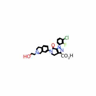 O=C(O)c1nn(-c2cccc(Cl)c2F)c2c1CCN(c1ccc3c(c1)CN(CCO)CC3)C2=O